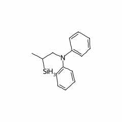 CC([SiH3])CN(c1ccccc1)c1ccccc1